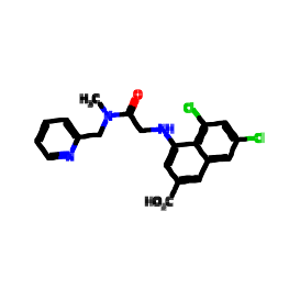 CN(Cc1ccccn1)C(=O)CNc1cc(C(=O)O)cc2cc(Cl)cc(Cl)c12